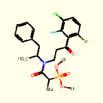 CCOP(=O)(OCC)C(C(=O)N(CCC(=O)c1c(Br)ccc(Cl)c1F)C(Cc1ccccc1)C(=O)O)C(C)(C)C